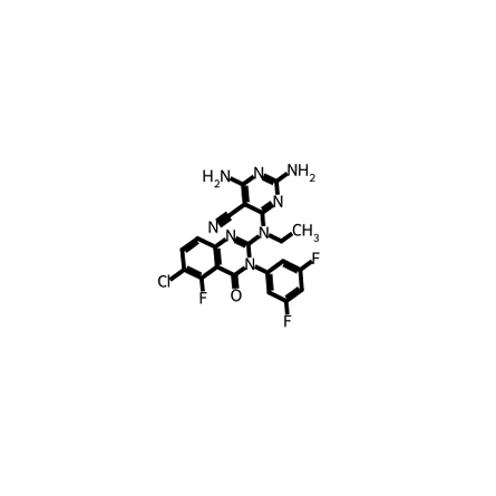 CCN(c1nc(N)nc(N)c1C#N)c1nc2ccc(Cl)c(F)c2c(=O)n1-c1cc(F)cc(F)c1